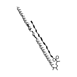 C#CC#CC#CC#CC#CC#CC#CC#CC#COC(=O)C(C)CCC(C)C(C)=C=C=C=C=C=C=C=C=C=C=C=C=C=C=C=C=C=C=C=C=C=C=C=C=C=C=C=C=C